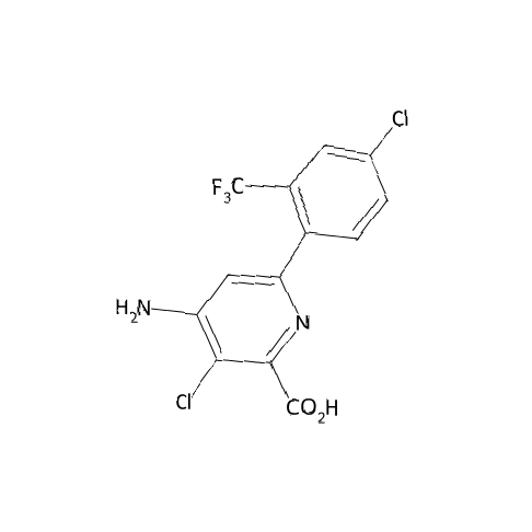 Nc1cc(-c2ccc(Cl)cc2C(F)(F)F)nc(C(=O)O)c1Cl